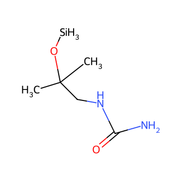 CC(C)(CNC(N)=O)O[SiH3]